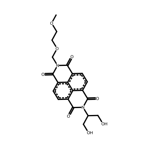 COCCOCN1C(=O)c2ccc3c4c(ccc(c24)C1=O)C(=O)N(C(CO)CO)C3=O